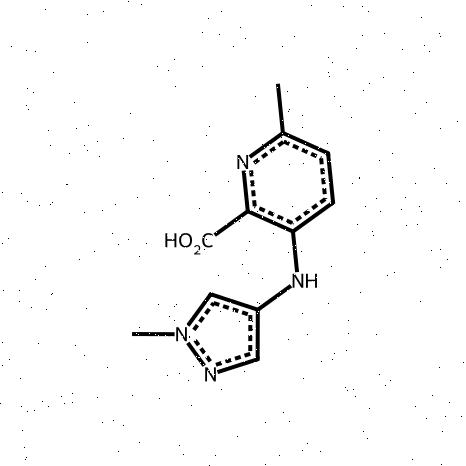 Cc1ccc(Nc2cnn(C)c2)c(C(=O)O)n1